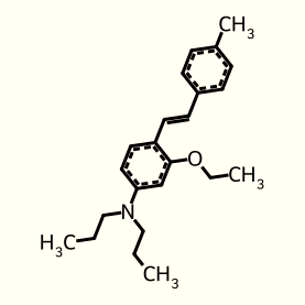 CCCN(CCC)c1ccc(C=Cc2ccc(C)cc2)c(OCC)c1